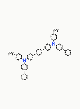 CC(C)c1ccc(N(c2ccc(-c3ccccc3)cc2)c2ccc(-c3ccc(-c4ccc(N(c5ccc(-c6ccccc6)cc5)c5ccc(C(C)C)cc5)cc4)cc3)cc2)cc1